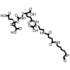 C[C@@H](C=O)CCCCNC(=O)CCC(=O)NCCC[C@@H](NC(=O)CC[C@@](C)(SNC(=O)O[C@@]1(CCC(=O)O)SC1C(=O)O)C(=O)O)C(=O)O